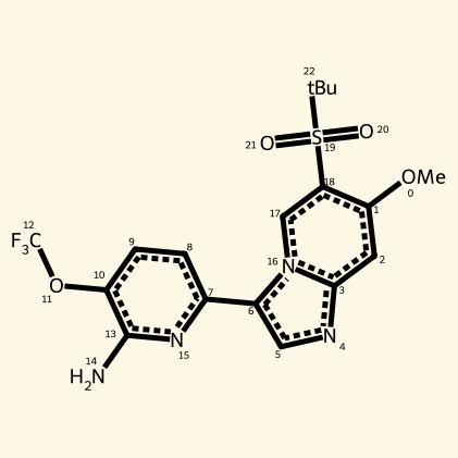 COc1cc2ncc(-c3ccc(OC(F)(F)F)c(N)n3)n2cc1S(=O)(=O)C(C)(C)C